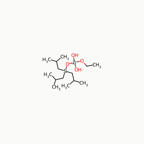 CC[O][Zr]([OH])([OH])[O][Si](CC(C)C)(CC(C)C)CC(C)C